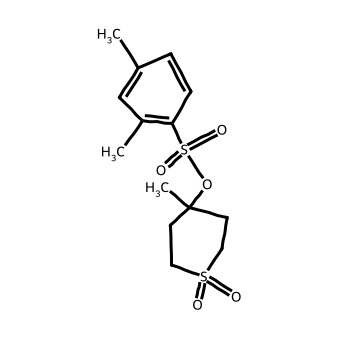 Cc1ccc(S(=O)(=O)OC2(C)CCS(=O)(=O)CC2)c(C)c1